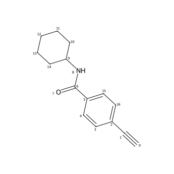 C#Cc1ccc(C(=O)NC2CCCCC2)cc1